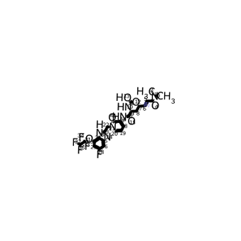 CN(C)C(=O)/C=C/CCC(NC(=O)O)C(=O)Nc1cccn(Cc2nc3cc(F)cc(OC(F)(F)C(F)F)c3[nH]2)c1=O